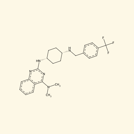 CN(C)c1nc(N[C@H]2CC[C@@H](NCc3ccc(C(F)(F)F)cc3)CC2)nc2ccccc12